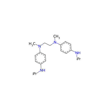 CC(C)Nc1ccc(N(C)CCN(C)c2ccc(NC(C)C)cc2)cc1